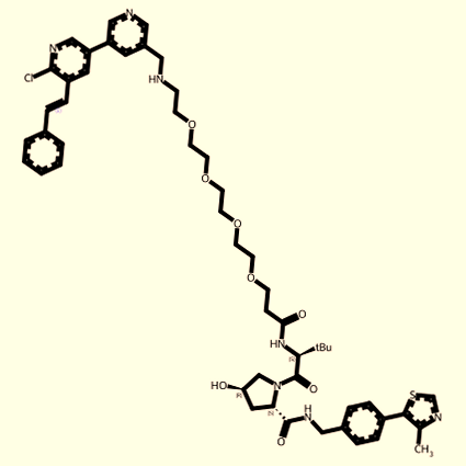 Cc1ncsc1-c1ccc(CNC(=O)[C@@H]2C[C@@H](O)CN2C(=O)[C@@H](NC(=O)CCOCCOCCOCCOCCNCc2cncc(-c3cnc(Cl)c(/C=C/c4ccccc4)c3)c2)C(C)(C)C)cc1